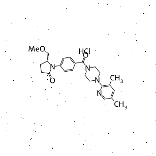 COC[C@@H]1CCC(=O)N1c1ccc(C(=O)N2CCN(c3ncc(C)cc3C)CC2)cc1.Cl